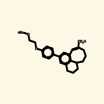 CCCCOCCOc1ccc(-c2cc3c4c(c2)CCCN4CCC/C(C(=O)O)=C\3)cc1